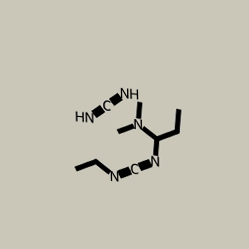 CCN=C=NC(CC)N(C)C.N=C=N